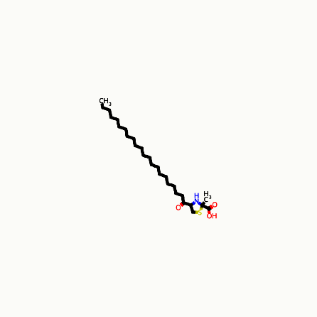 CCCCCCCCCCCCCCCCCCCCCC(=O)C1CSC(C)(C(=O)O)N1